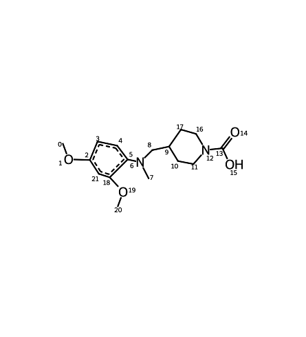 COc1ccc(N(C)CC2CCN(C(=O)O)CC2)c(OC)c1